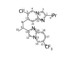 CC(C)c1cn2cc(Cl)c(CC(C)c3cn4cc(C(F)(F)F)ccc4n3)cc2n1